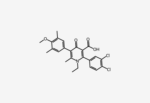 CCn1c(C)c(-c2cc(C)c(OC)c(C)c2)c(=O)c(C(=O)O)c1-c1ccc(Cl)c(Cl)c1